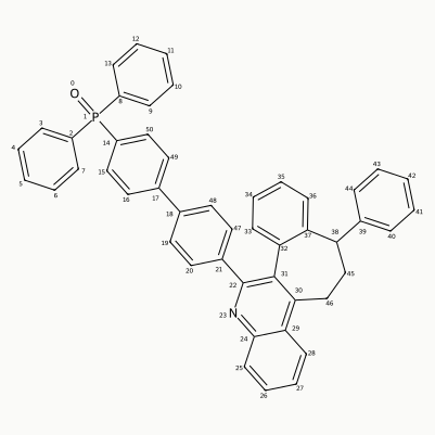 O=P(c1ccccc1)(c1ccccc1)c1ccc(-c2ccc(-c3nc4ccccc4c4c3-c3ccccc3C(c3ccccc3)CC4)cc2)cc1